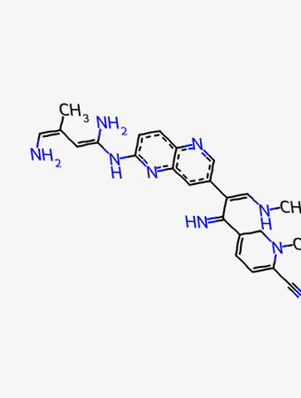 CN/C=C(\C(=N)C1=CC=C(C#N)N(C)C1)c1cnc2ccc(N/C(N)=C/C(C)=C\N)nc2c1